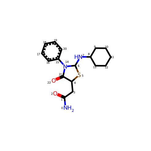 NC(=O)CC1SC(NC2CCCCC2)N(c2ccccc2)C1=O